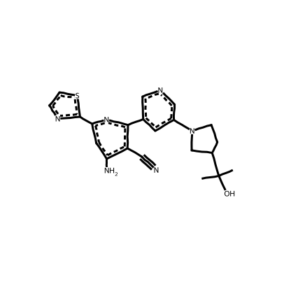 CC(C)(O)C1CCN(c2cncc(-c3nc(-c4nccs4)cc(N)c3C#N)c2)C1